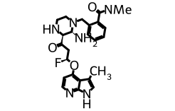 CNC(=O)c1ccccc1CN1CCN[C@H](C(=O)C[C@H](F)Oc2ccnc3[nH]cc(C)c23)[C@H]1N